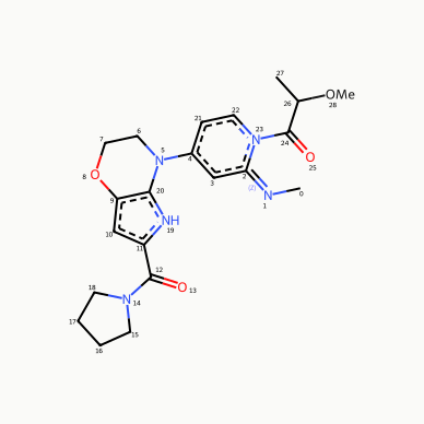 C/N=c1/cc(N2CCOc3cc(C(=O)N4CCCC4)[nH]c32)ccn1C(=O)C(C)OC